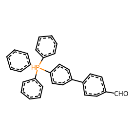 O=Cc1ccc(-c2ccc([PH](c3ccccc3)(c3ccccc3)c3ccccc3)cc2)cc1